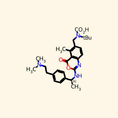 Cc1c(CN(C(=O)O)C(C)(C)C)ccc2nc(N[C@@H](C)c3ccc(CCN(C)C)cc3)oc(=O)c12